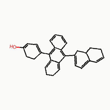 OC1=CC=C(c2c3c(c(C4=CC=C5C=CCCC5C4)c4ccccc24)=CCCC=3)CC1